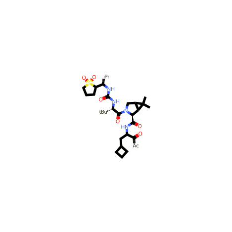 CC(=O)C(=O)C(CC1CCC1)NC(=O)[C@@H]1C2C(CN1C(=O)[C@@H](NC(=O)NC(C(C)C)C1CCCS1(=O)=O)C(C)(C)C)C2(C)C